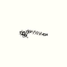 Cn1c(=O)c(-c2ccc(OCCCCCCCCCCCCO)cc2)cc2ccccc21